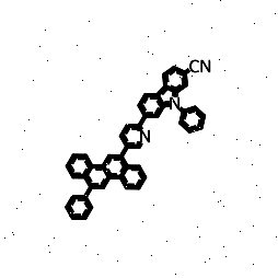 N#Cc1ccc2c3ccc(-c4ccc(-c5cc6c7ccccc7c(-c7ccccc7)cc6c6ccccc56)cn4)cc3n(-c3ccccc3)c2c1